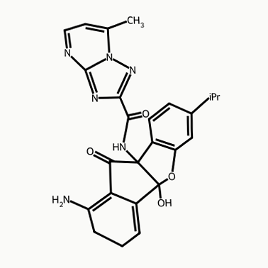 Cc1ccnc2nc(C(=O)NC34C(=O)C5=C(N)CCC=C5C3(O)Oc3cc(C(C)C)ccc34)nn12